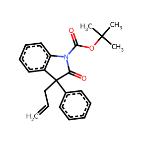 C=CCC1(c2ccccc2)C(=O)N(C(=O)OC(C)(C)C)c2ccccc21